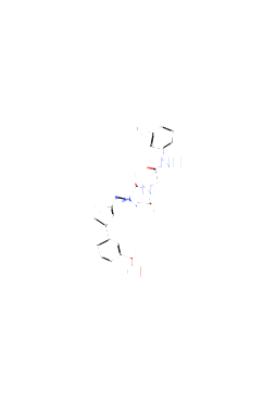 Cc1cccc(NC(=O)CN2C(=O)N/C(=C\c3cc(-c4cccc(C(=O)O)c4)cs3)C2=O)c1